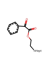 CCCCCCCCCOC(=O)C(=O)c1ccccc1